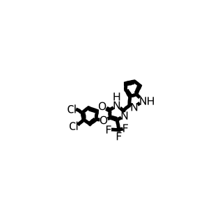 O=c1[nH]c(-c2n[nH]c3ccccc23)nc(C(F)(F)F)c1Oc1ccc(Cl)c(Cl)c1